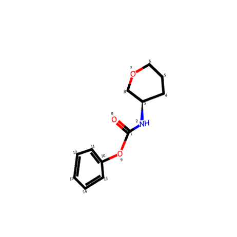 O=C(N[C@@H]1CCCOC1)Oc1ccccc1